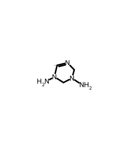 NN1[C]=NCN(N)C1